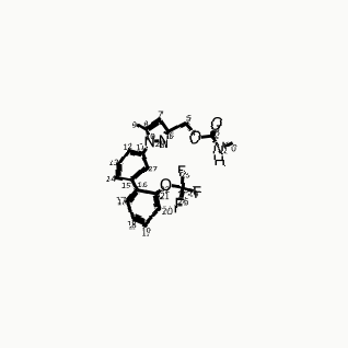 CNC(=O)OCc1cc(C)n(-c2cccc(-c3ccccc3OC(F)(F)F)c2)n1